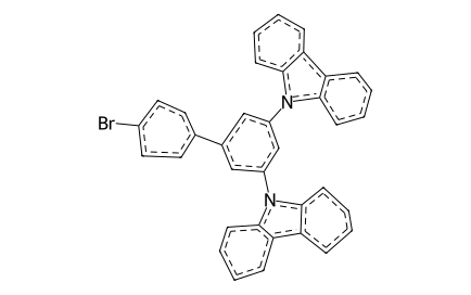 Brc1ccc(-c2cc(-n3c4ccccc4c4ccccc43)cc(-n3c4ccccc4c4ccccc43)c2)cc1